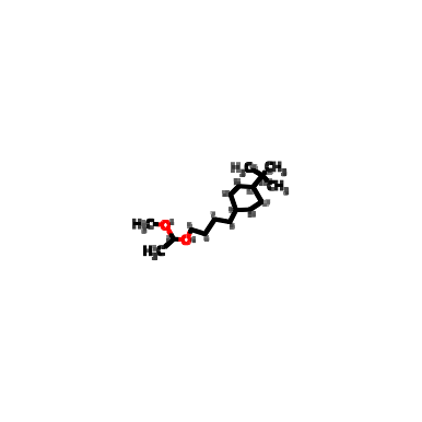 COC(C)OCCCCC1CCC(C(C)(C)C)CC1